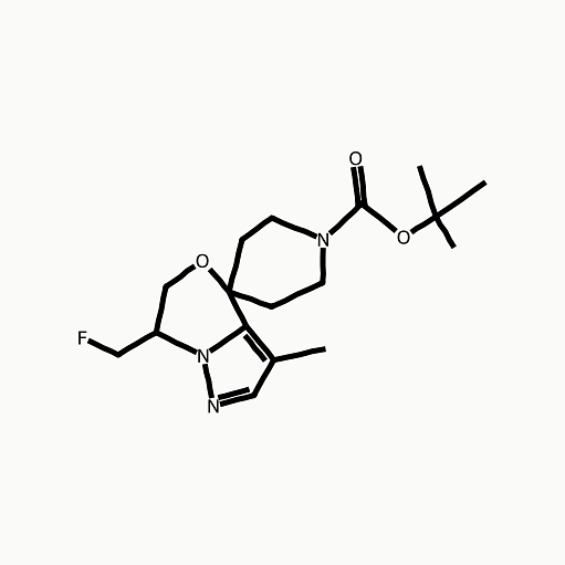 Cc1cnn2c1C1(CCN(C(=O)OC(C)(C)C)CC1)OCC2CF